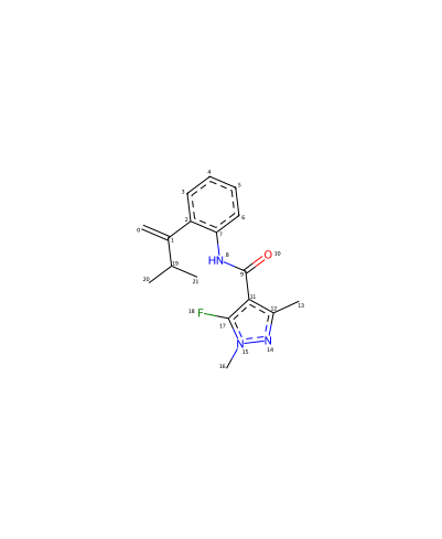 C=C(c1ccccc1NC(=O)c1c(C)nn(C)c1F)C(C)C